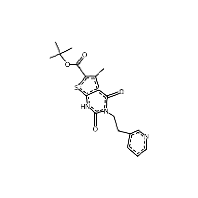 Cc1c(C(=O)OC(C)(C)C)sc2[nH]c(=O)n(CCc3cccnc3)c(=O)c12